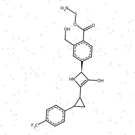 NSOC(=O)c1ccc([C@@H]2NC(C3CC3c3ccc(C(F)(F)F)cc3)=C2O)cc1CO